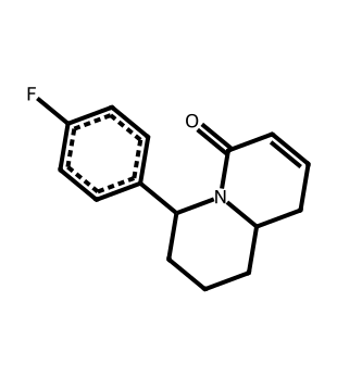 O=C1C=CCC2CCCC(c3ccc(F)cc3)N12